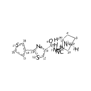 N#CN1[C@H]2CC[C@@H]1[C@H](NC(=O)c1csc(-c3ccsc3)n1)C2